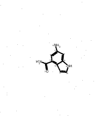 NC(=O)c1cc(N)cc2[nH]ccc12